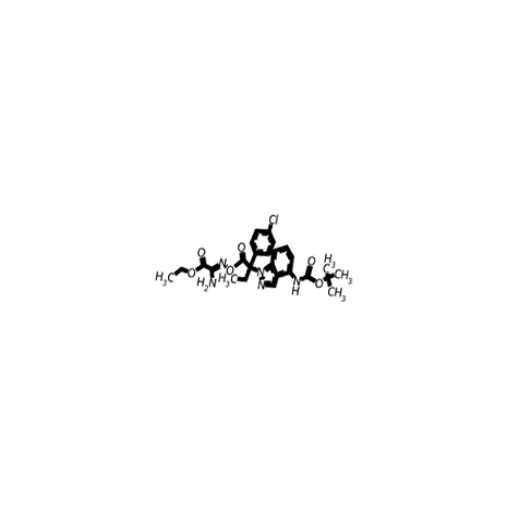 CCOC(=O)/C(N)=N/OC(=O)C(CC)(c1ccc(Cl)cc1)n1ncc2c(NC(=O)OC(C)(C)C)cccc21